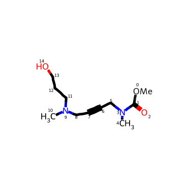 COC(=O)N(C)CC#CCN(C)CCCO